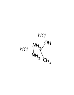 CCO.Cl.Cl.NN